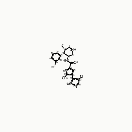 C[C@H]1CNC[C@@H](NC(=O)c2cc(-c3c(Cl)cnn3C)c(Cl)s2)[C@@H]1c1cccc(F)c1